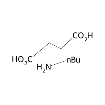 CCCCN.O=C(O)CCC(=O)O